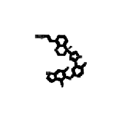 CCOC(=O)/C=C/c1cccc2c1OCC[C@]2(C)c1c[nH]c(-c2cc(Oc3c(F)cc4[nH]ccc4c3F)ccc2F)n1